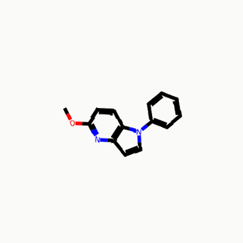 COc1ccc2c(ccn2-c2ccccc2)n1